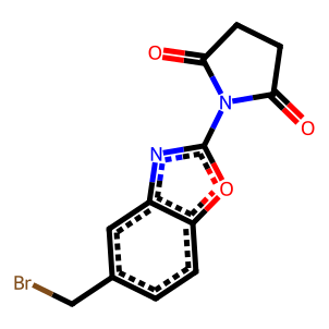 O=C1CCC(=O)N1c1nc2cc(CBr)ccc2o1